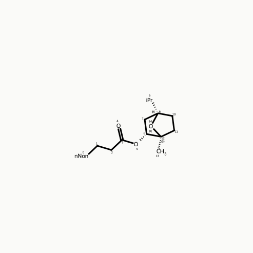 CCCCCCCCCCCC(=O)O[C@@H]1C[C@@]2(C(C)C)CC[C@]1(C)O2